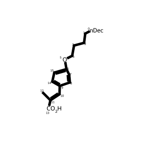 CCCCCCCCCCCCCCOc1ccc(/C=C(\C)C(=O)O)cc1